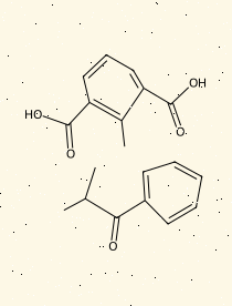 CC(C)C(=O)c1ccccc1.Cc1c(C(=O)O)cccc1C(=O)O